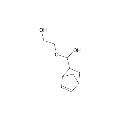 OCCOC(O)C1CC2C=CC1C2